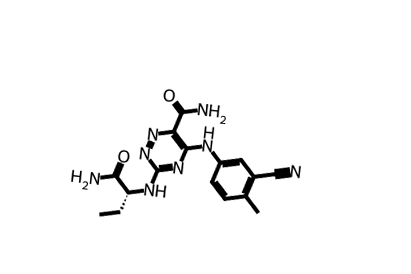 CC[C@@H](Nc1nnc(C(N)=O)c(Nc2ccc(C)c(C#N)c2)n1)C(N)=O